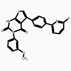 COc1cccc(-n2c(=O)[nH]c3scc(-c4ccc(-c5cccc(F)n5)cc4)c3c2=O)c1